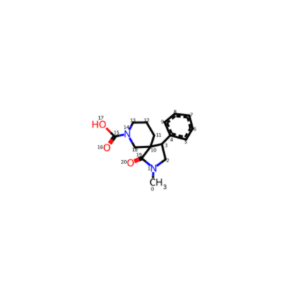 CN1CC(c2ccccc2)C2(CCCN(C(=O)O)C2)C1=O